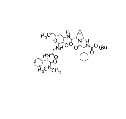 C=CCCC(NC(=O)[C@@H]1C2CC2CN1C(=O)[C@@H](NC(=O)OC(C)(C)C)C1CCCCC1)C(=O)C(=O)NCC(=O)N[C@H](C(=O)N(C)C)c1ccccc1